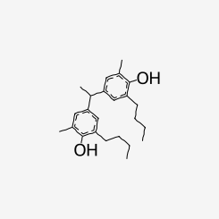 CCCCc1cc(C(C)c2cc(C)c(O)c(CCCC)c2)cc(C)c1O